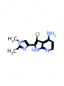 Cc1nc(-c2[nH]c3nccc(N)c3c2Cl)cn1C